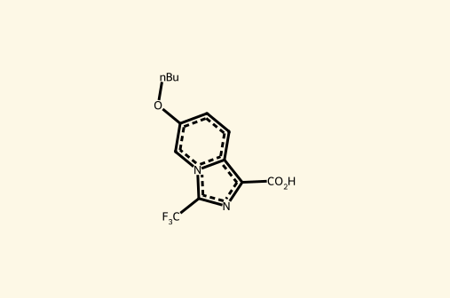 CCCCOc1ccc2c(C(=O)O)nc(C(F)(F)F)n2c1